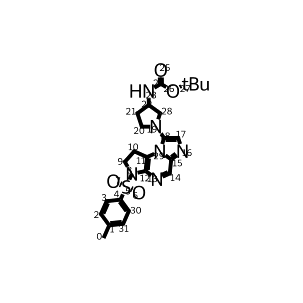 Cc1ccc(S(=O)(=O)N2CCc3c2ncc2ncc(N4CCC(NC(=O)OC(C)(C)C)C4)n32)cc1